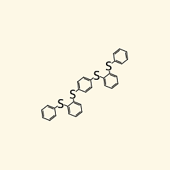 c1ccc(Sc2ccccc2Sc2ccc(Sc3ccccc3Sc3ccccc3)cc2)cc1